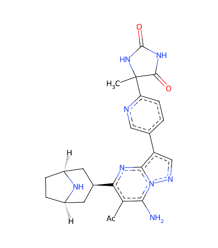 CC(=O)c1c([C@H]2C[C@H]3CC[C@@H](C2)N3)nc2c(-c3ccc(C4(C)NC(=O)NC4=O)nc3)cnn2c1N